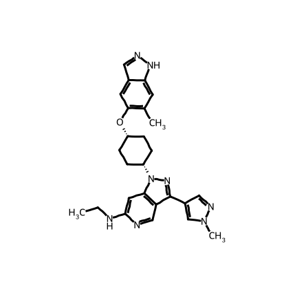 CCNc1cc2c(cn1)c(-c1cnn(C)c1)nn2[C@H]1CC[C@@H](Oc2cc3cn[nH]c3cc2C)CC1